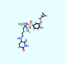 CC(C)(CCCCNC1CCC(=O)NC1=O)NS(=O)(=O)c1ccc(F)c(OCC2CC2)c1